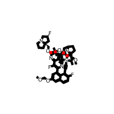 COCOc1cc(-c2ncc3c(N4CC5CCC(COC)(C4)N5C(=O)OC(C)(C)C)nc(OC[C@@]45CCCN4C[C@H](F)C5)nc3c2F)c2c(C#C[Si](C(C)C)(C(C)C)C(C)C)c(F)ccc2c1